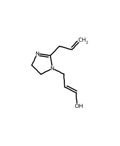 C=CCC1=NCCN1CC=CO